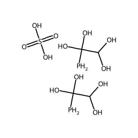 O=S(=O)(O)O.OC(O)C(O)(O)P.OC(O)C(O)(O)P